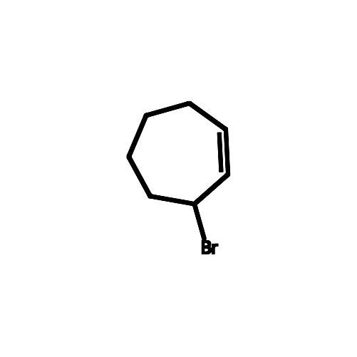 BrC1C=CCCCC1